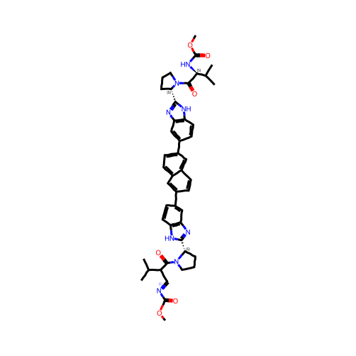 COC(=O)/N=C/C(C(=O)N1CCC[C@H]1c1nc2cc(-c3ccc4cc(-c5ccc6[nH]c([C@@H]7CCCN7C(=O)[C@@H](NC(=O)OC)C(C)C)nc6c5)ccc4c3)ccc2[nH]1)C(C)C